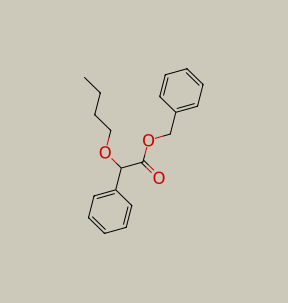 CCCCOC(C(=O)OCc1ccccc1)c1ccccc1